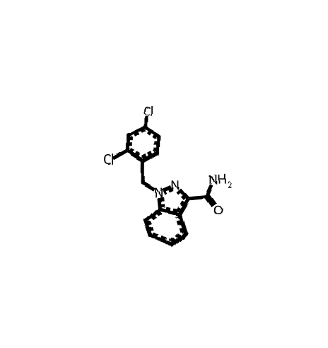 NC(=O)c1nn(Cc2ccc(Cl)cc2Cl)c2ccccc12